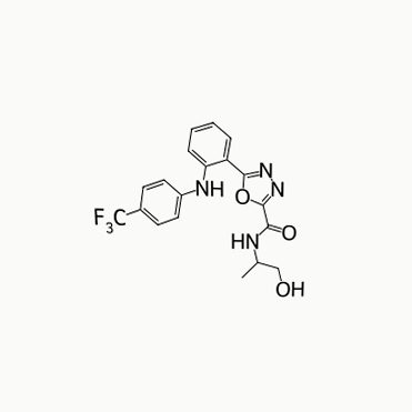 CC(CO)NC(=O)c1nnc(-c2ccccc2Nc2ccc(C(F)(F)F)cc2)o1